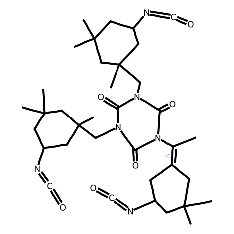 C/C(=C1/CC(N=C=O)CC(C)(C)C1)n1c(=O)n(CC2(C)CC(N=C=O)CC(C)(C)C2)c(=O)n(CC2(C)CC(N=C=O)CC(C)(C)C2)c1=O